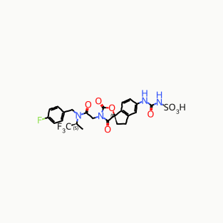 C[C@H](N(Cc1ccc(F)cc1)C(=O)CN1C(=O)O[C@@]2(CCc3cc(NC(=O)NS(=O)(=O)O)ccc32)C1=O)C(F)(F)F